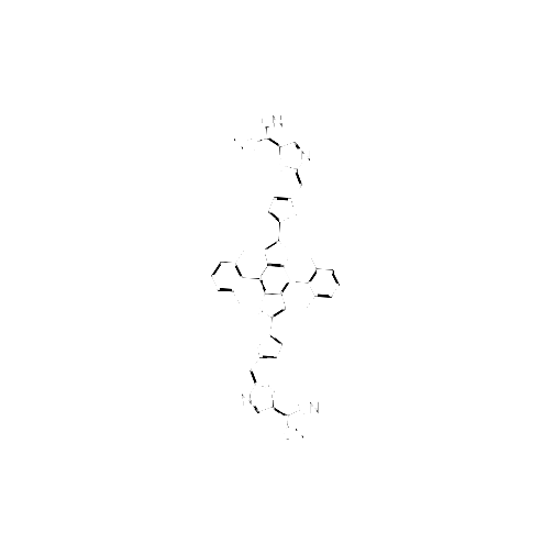 Cc1cccc(C)c1-c1c2cc(-c3ccc(/C=c4/ncc(=C(C#N)C#N)s4)s3)sc2c(-c2c(C)cccc2C)c2cc(-c3ccc(/C=c4/ncc(=C(C#N)C#N)s4)s3)sc12